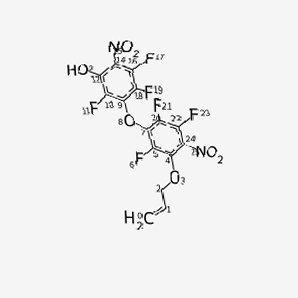 C=CCOc1c(F)c(Oc2c(F)c(O)c([N+](=O)[O-])c(F)c2F)c(F)c(F)c1[N+](=O)[O-]